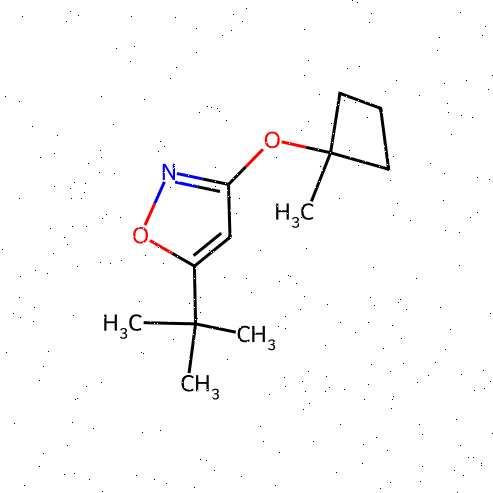 CC1(Oc2cc(C(C)(C)C)on2)CCC1